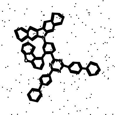 c1ccc(-c2ccc(-c3nc(-c4ccc(-c5ccccc5)cc4)nc(-c4ccc(-n5c6cc7ccccc7cc6c6cc7ccccc7cc65)cc4-c4cccc5oc6ccccc6c45)n3)cc2)cc1